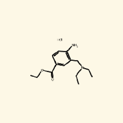 CCOC(=O)c1ccc(N)c(CN(CC)CC)c1.Cl